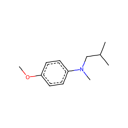 COc1ccc(N(C)CC(C)C)cc1